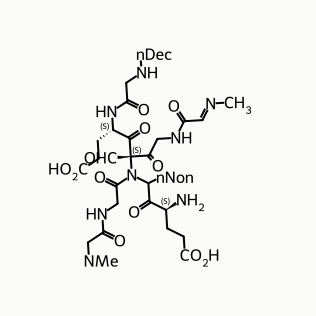 CCCCCCCCCCNCC(=O)N[C@@H](CCC(=O)O)C(=O)[C@](C=O)(C(=O)CNC(=O)C=NC)N(C(=O)CNC(=O)CNC)C(CCCCCCCCC)C(=O)[C@@H](N)CCC(=O)O